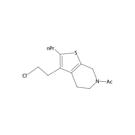 CCCc1sc2c(c1CCCl)CCN(C(C)=O)C2